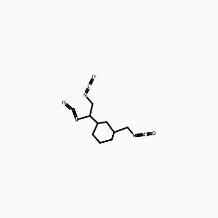 O=C=NCC1CCCC(C(CN=C=O)N=C=O)C1